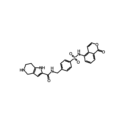 O=C(NCc1ccc(S(=O)(=O)Nc2cccc3c(=O)occc23)cc1)c1cc2c([nH]1)CCNC2